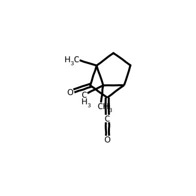 CC12CCC(C(=C=O)C1=O)C2(C)C